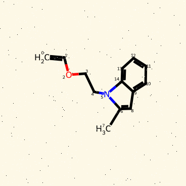 C=COCCn1c(C)cc2ccccc21